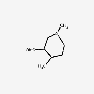 CNC1CN(C)CCC1C